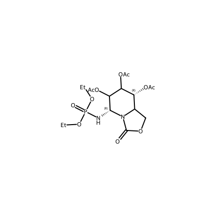 CCOP(=O)(N[C@@H]1C(OC(C)=O)C(OC(C)=O)[C@H](OC(C)=O)C2COC(=O)N21)OCC